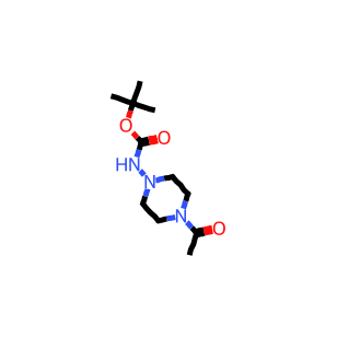 CC(=O)N1CCN(NC(=O)OC(C)(C)C)CC1